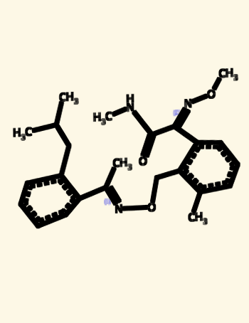 CNC(=O)/C(=N/OC)c1cccc(C)c1CO/N=C(\C)c1ccccc1CC(C)C